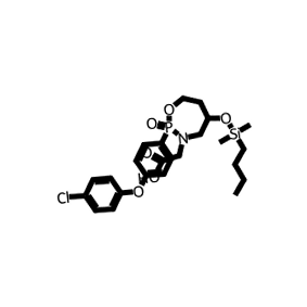 CCCC[Si](C)(C)OC1CCOP(=O)(c2ccc(Oc3ccc(Cl)cc3)cc2)N(CC(=O)O)C1